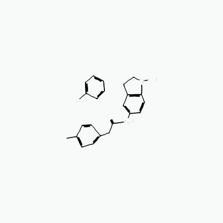 CC(C)c1ccccc1.CN1CCc2cc(NC(=O)Cc3ccc(F)cc3)ccc21